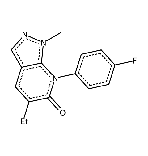 CCc1cc2cnn(C)c2n(-c2ccc(F)cc2)c1=O